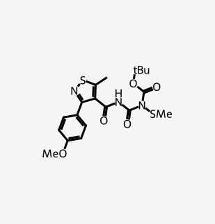 COc1ccc(-c2nsc(C)c2C(=O)NC(=O)N(SC)C(=O)OC(C)(C)C)cc1